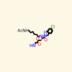 CC(=O)NCCCCCC(=O)N[C@@H](CCC(=O)C=N)C(=O)NCc1ccc(Cl)cc1